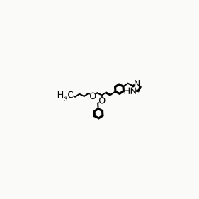 CCCCCOCC(C=Cc1ccc(Cc2ncc[nH]2)cc1)OCc1ccccc1